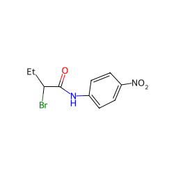 CCC(Br)C(=O)Nc1ccc([N+](=O)[O-])cc1